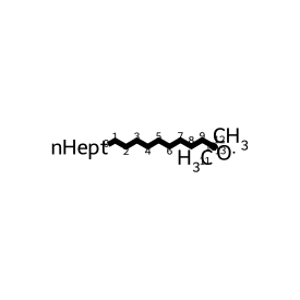 CCCCCCCCCCCCCCCCC(C)(C)[O]